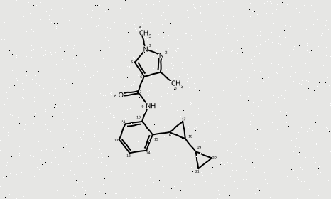 Cc1nn(C)cc1C(=O)Nc1ccccc1C1CC1C1CC1